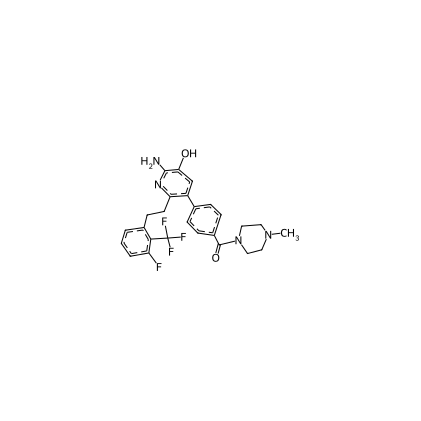 CN1CCN(C(=O)c2ccc(-c3cc(O)c(N)nc3CCc3cccc(F)c3C(F)(F)F)cc2)CC1